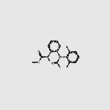 COC(=O)C(C)c1ccccc1N(C(C)=O)c1c(C)cccc1C